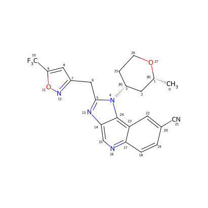 C[C@@H]1C[C@H](n2c(Cc3cc(C(F)(F)F)on3)nc3cnc4ccc(C#N)cc4c32)CCO1